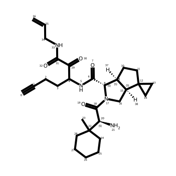 C#CCCC(NC(=O)[C@@H]1[C@H]2CCC3(CC3)[C@H]2CN1C(=O)[C@@H](N)C1(C)CCCCC1)C(=O)C(=O)NCC=C